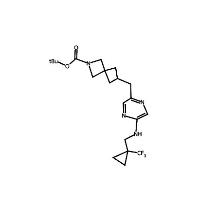 CC(C)(C)OC(=O)N1CC2(CC(Cc3cnc(NCC4(C(F)(F)F)CC4)cn3)C2)C1